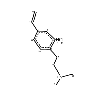 C=Cc1ccc(CCN(C)C)cc1.Cl